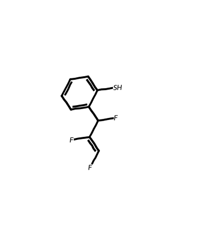 FC=C(F)C(F)c1ccccc1S